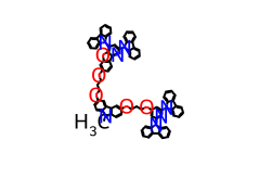 Cn1c2ccc(OCCCOc3cc(-n4c5ccccc5c5ccccc54)nc(-n4c5ccccc5c5ccccc54)c3)cc2c2cc(OCCCOc3ccc4c(c3)oc3c(-n5c6ccccc6c6ccccc65)cc(-n5c6ccccc6c6ccccc65)nc34)ccc21